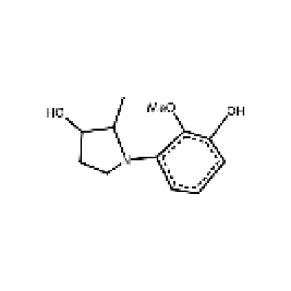 COc1c(O)cccc1N1CCC(O)C1C